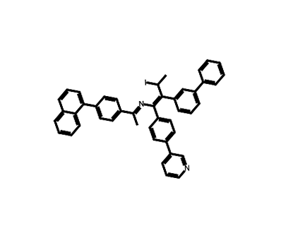 C/C(=N\C(=C(\c1cccc(-c2ccccc2)c1)C(C)I)c1ccc(-c2cccnc2)cc1)c1ccc(-c2cccc3ccccc23)cc1